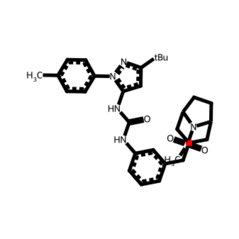 Cc1ccc(-n2nc(C(C)(C)C)cc2NC(=O)Nc2cccc(CC3CC4CCC(C3)N4S(C)(=O)=O)c2)cc1